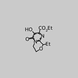 CCOC(=O)c1nc2n(c(=O)c1O)CCOC2CC